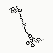 N=c1c2c(-c3ccccc3)c(-c3ccccc3)n(Cc3cccc(C#CCCCCNC(=O)CCOCCOCCNc4cccc5c4C(=O)N(C4CCC(=O)NC4=O)C5=O)c3)c2ncn1C1CCC(O)CC1